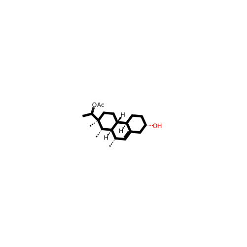 CC(=O)OC(C)[C@@]1(C)CC[C@H]2[C@@H]([C@@H](C)C=C3C[C@@H](O)CC[C@@H]32)[C@@H]1C